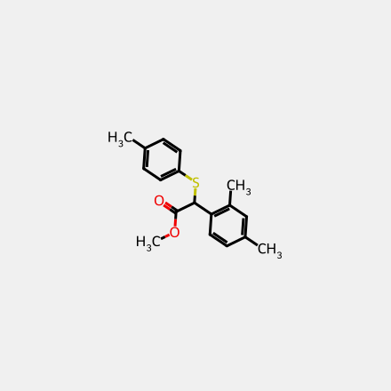 COC(=O)C(Sc1ccc(C)cc1)c1ccc(C)cc1C